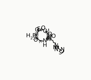 B[C@@H]1[C@H](C)C(=O)[C@](C)(F)C(=O)O[C@H](CC)[C@@]2(C)OC(=O)N(CCCCn3cc(-c4nccs4)nn3)[C@@H]2[C@@H](C)NC[C@H](C)C[C@@]1(C)OC